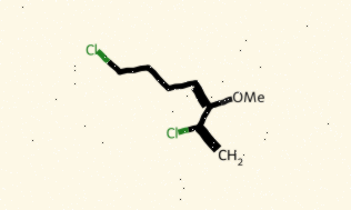 C=C(Cl)/C(=C\CCCCl)OC